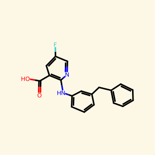 O=C(O)c1cc(F)cnc1Nc1cccc(Cc2ccccc2)c1